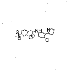 CS(=O)(=O)c1ccc(CC(=O)Nc2ccc(Cl)c(-c3ccccn3)c2)c(Cl)c1